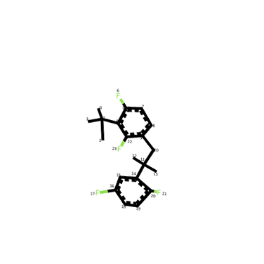 CC(C)(C)c1c(F)ccc(CC(C)(C)c2cc(F)ccc2F)c1F